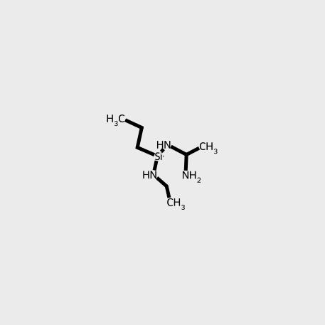 CCC[Si](NCC)NC(C)N